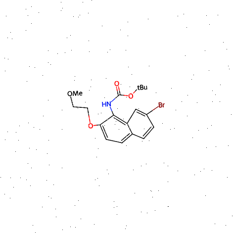 COCCOc1ccc2ccc(Br)cc2c1NC(=O)OC(C)(C)C